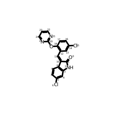 O=C1Nc2cc(Cl)ccc2C1=Cc1cc(Cl)ccc1Oc1ncccn1